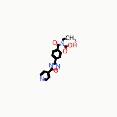 CCN(C(=O)O)C(=O)c1ccc(-c2noc(-c3ccncc3)n2)cc1